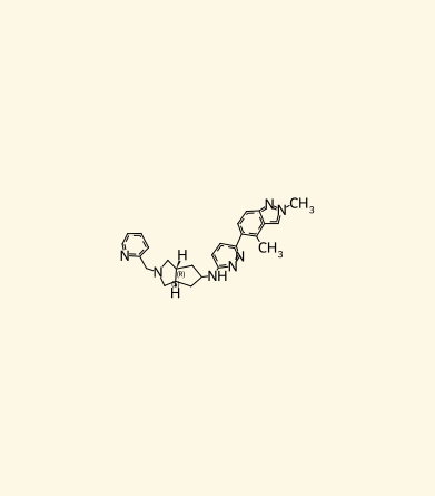 Cc1c(-c2ccc(NC3C[C@@H]4CN(Cc5ccccn5)C[C@@H]4C3)nn2)ccc2nn(C)cc12